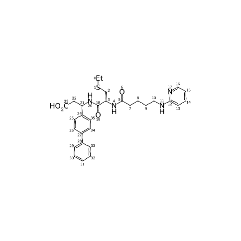 CCSC[C@@H](NC(=O)CCCCNc1ccccn1)C(=O)NC(CC(=O)O)c1ccc(-c2ccccc2)cc1